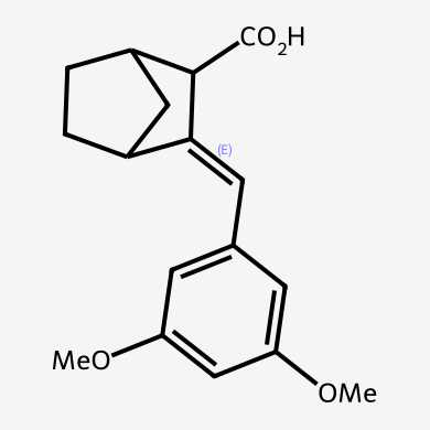 COc1cc(/C=C2\C3CCC(C3)C2C(=O)O)cc(OC)c1